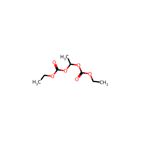 CCOC(=O)OC(C)OC(=O)OCC